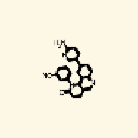 N#Cc1cccc(-n2c(=O)ccc3cnc4ccc(-c5ccc(N)nc5)cc4c32)c1